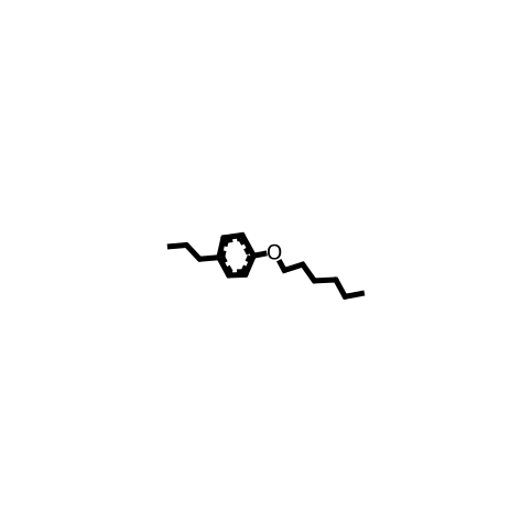 CCCCCCOc1ccc(CCC)cc1